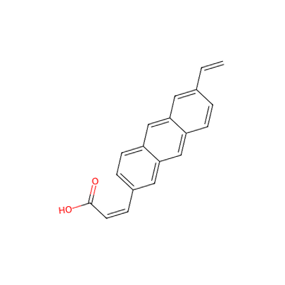 C=Cc1ccc2cc3cc(/C=C\C(=O)O)ccc3cc2c1